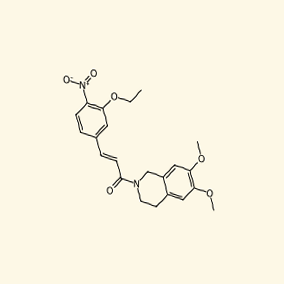 CCOc1cc(C=CC(=O)N2CCc3cc(OC)c(OC)cc3C2)ccc1[N+](=O)[O-]